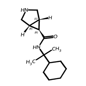 CC(C)(NC(=O)[C@H]1[C@@H]2CNC[C@@H]21)C1CCCCC1